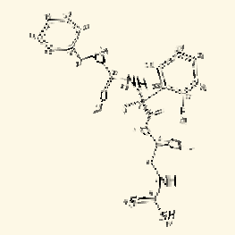 CC(COC(=O)CNC(=S)S)(NC(=O)OCc1ccccc1)c1ccccc1F